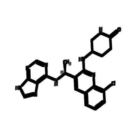 C[C@H](Nc1ncnc2[nH]cnc12)c1cc2cccc(Cl)c2nc1NC1CCC(=O)NC1